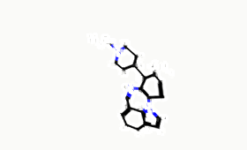 CC1C=CC2=C(N=CC3=CCCc4ccn2c43)C1C1CCN(C)CC1